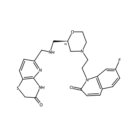 O=C1CSc2ccc(CNC[C@@H]3CN(CCn4c(=O)ccc5ccc(F)cc54)CCO3)nc2N1